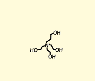 OCCC[N+](CCO)(CCO)CCO